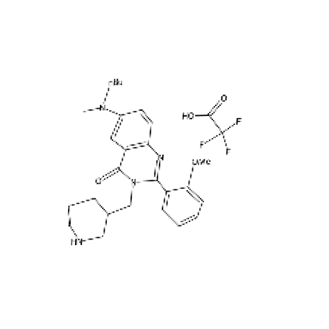 CCCCN(C)c1ccc2nc(-c3ccccc3OC)n(CC3CCCNC3)c(=O)c2c1.O=C(O)C(F)(F)F